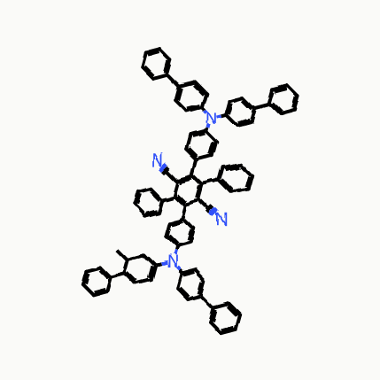 CC1CC(N(c2ccc(-c3ccccc3)cc2)c2ccc(-c3c(C#N)c(-c4ccccc4)c(-c4ccc(N(c5ccc(-c6ccccc6)cc5)c5ccc(-c6ccccc6)cc5)cc4)c(C#N)c3-c3ccccc3)cc2)=CC=C1c1ccccc1